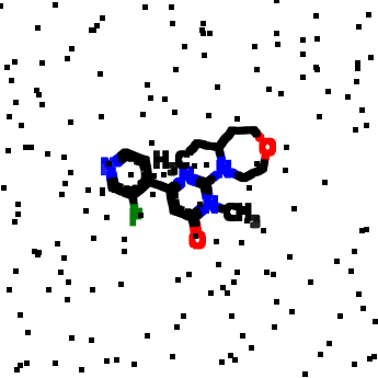 CCC1CCOCCN1c1nc(-c2ccncc2F)cc(=O)n1C